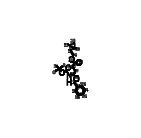 CC(C)(C)OC(=O)NC(CCC(=O)OCC[Si](C)(C)C)OCc1ccccc1